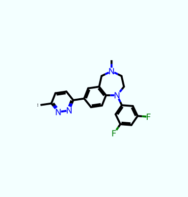 [CH]c1ccc(-c2ccc3c(c2)CN(C)CCN3c2cc(F)cc(F)c2)nn1